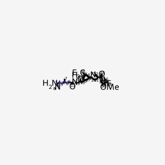 C=N\C(N)=C/C=C(C)/C=C/C(=O)NCc1cc2cc(-c3ccc(C(=O)N4C[C@@H](F)[C@H](OC)C4)cn3)cc(C(F)(F)F)c2o1